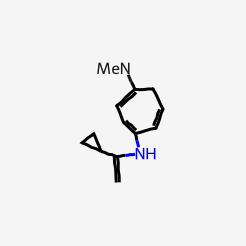 C=C(NC1=CC=C(NC)CC=C1)C1CC1